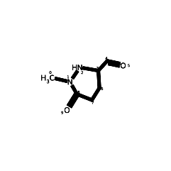 CN1NC(C=O)CCC1=O